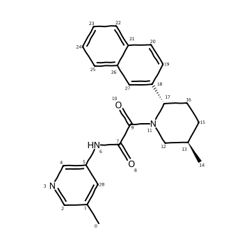 Cc1cncc(NC(=O)C(=O)N2C[C@H](C)CC[C@H]2c2ccc3ccccc3c2)c1